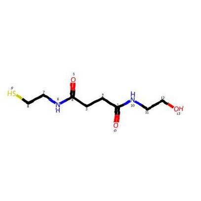 O=C(CCC(=O)NCCS)NCCO